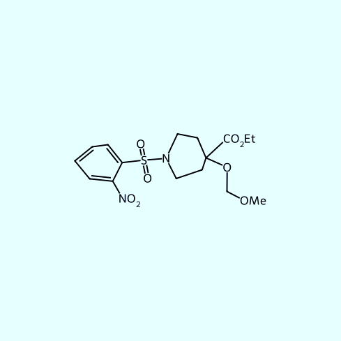 CCOC(=O)C1(OCOC)CCN(S(=O)(=O)c2ccccc2[N+](=O)[O-])CC1